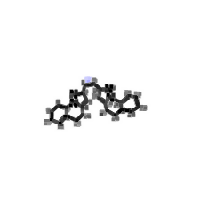 C(=C/c1cc2n(n1)-c1ccccc1CC2)/c1cc2n(n1)-c1ccccc1CC2